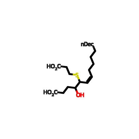 CCCCCCCCCCCCCC/C=C\C(SCCC(=O)O)C(O)CCC(=O)O